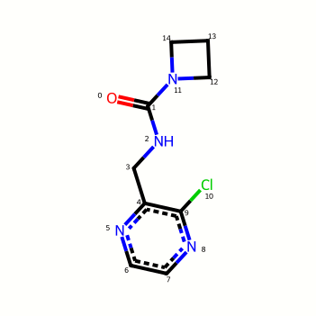 O=C(NCc1nccnc1Cl)N1CCC1